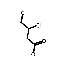 [O]C(=O)CC(Cl)CCl